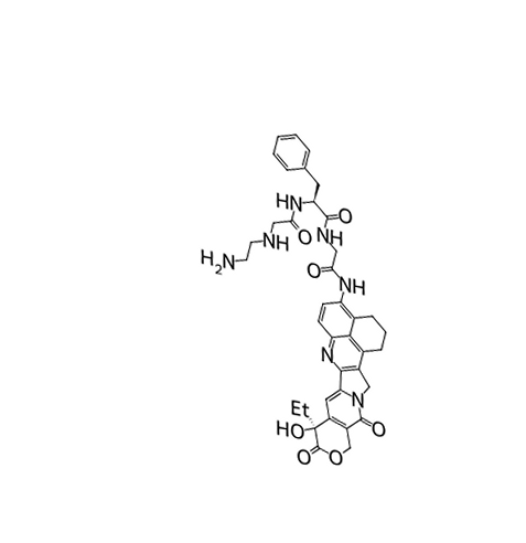 CC[C@@]1(O)C(=O)OCc2c1cc1n(c2=O)Cc2c-1nc1ccc(NC(=O)CNC(=O)[C@H](Cc3ccccc3)NC(=O)CNCCN)c3c1c2CCC3